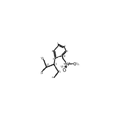 CCC(c1ccccc1[N+](=O)[O-])C(C)C